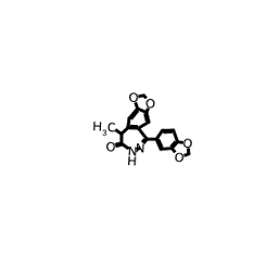 CC1C(=O)NN=C(c2ccc3c(c2)OCO3)c2cc3c(cc21)OCO3